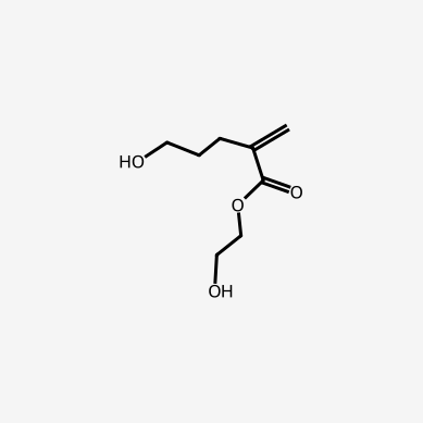 C=C(CCCO)C(=O)OCCO